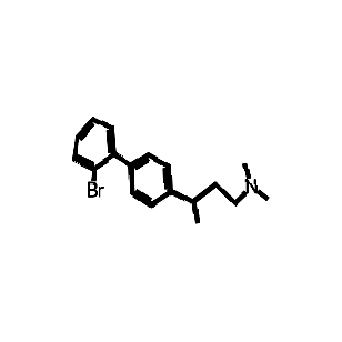 CC(CCN(C)C)c1ccc(-c2ccccc2Br)cc1